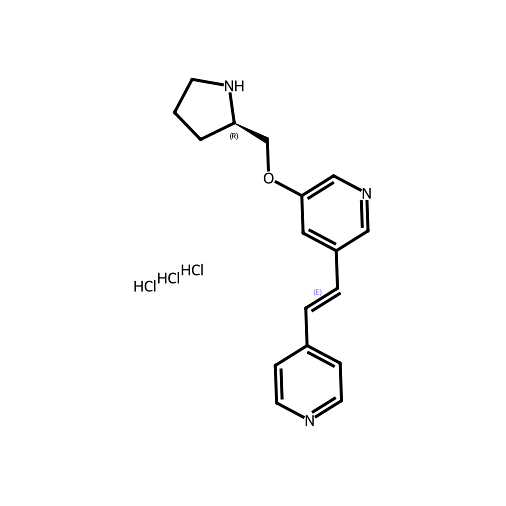 C(=C\c1cncc(OC[C@H]2CCCN2)c1)/c1ccncc1.Cl.Cl.Cl